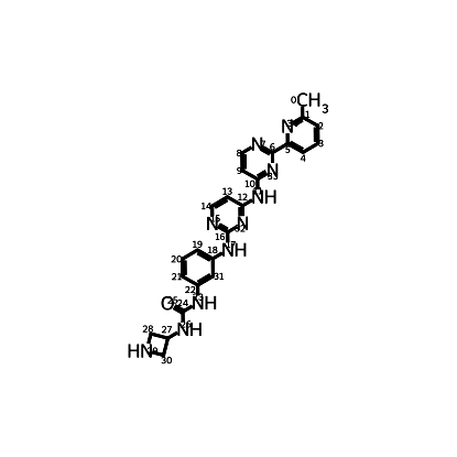 Cc1cccc(-c2nccc(Nc3ccnc(Nc4cccc(NC(=O)NC5CNC5)c4)n3)n2)n1